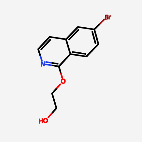 OCCOc1nccc2cc(Br)ccc12